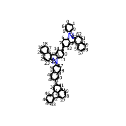 c1ccc(-n2c3ccc(-c4ccc5c(c4)c4c6ccccc6ccc4n5-c4ccc5cc(-c6cc7c8c(cccc8c6)-c6ccccc6-7)ccc5c4)cc3c3c4ccccc4ccc32)cc1